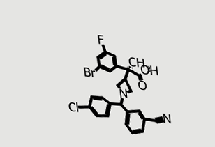 C[C@@](C(=O)O)(c1cc(F)cc(Br)c1)C1CN(C(c2ccc(Cl)cc2)c2cccc(C#N)c2)C1